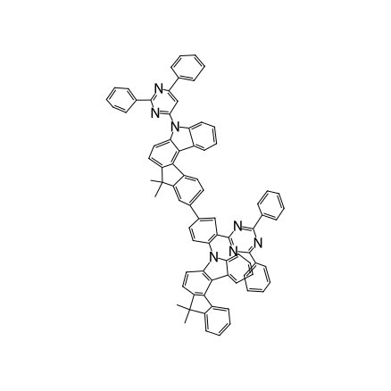 CC1(C)c2cc(-c3ccc(-n4c5ccccc5c5c6c(ccc54)C(C)(C)c4ccccc4-6)c(-c4nc(-c5ccccc5)nc(-c5ccccc5)n4)c3)ccc2-c2c1ccc1c2c2ccccc2n1-c1cc(-c2ccccc2)nc(-c2ccccc2)n1